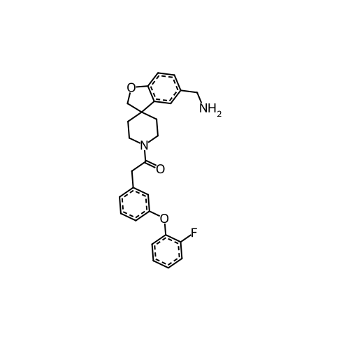 NCc1ccc2c(c1)C1(CCN(C(=O)Cc3cccc(Oc4ccccc4F)c3)CC1)CO2